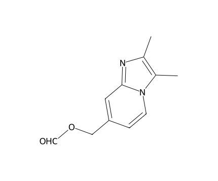 Cc1nc2cc(COC=O)ccn2c1C